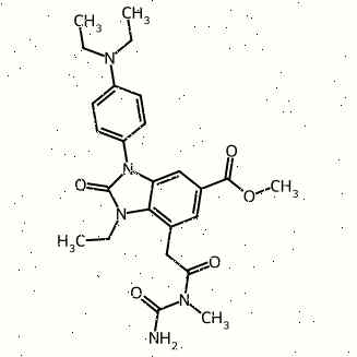 CCN(CC)c1ccc(-n2c(=O)n(CC)c3c(CC(=O)N(C)C(N)=O)cc(C(=O)OC)cc32)cc1